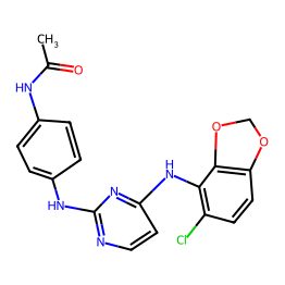 CC(=O)Nc1ccc(Nc2nccc(Nc3c(Cl)ccc4c3OCO4)n2)cc1